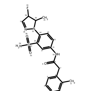 Cc1ccccc1CC(=O)Nc1ccc(N2N=CC(F)C2C)c(S(N)(=O)=O)c1